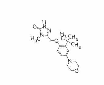 Cn1c(COc2ccc(N3CCOCC3)cc2C(C)(C)C)n[nH]c1=O